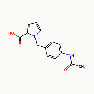 CC(=O)Nc1ccc(Cn2cccc2C(=O)O)cc1